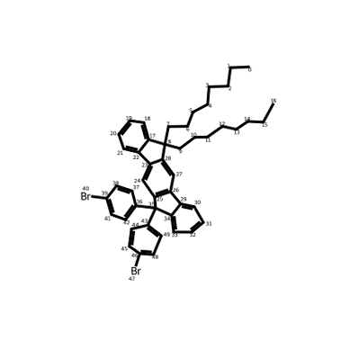 CCCCCCCCC1(CCCCCCCC)c2ccccc2-c2cc3c(cc21)-c1ccccc1C3(c1ccc(Br)cc1)c1ccc(Br)cc1